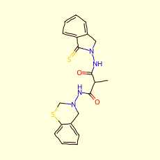 CC(C(=O)NN1CSc2ccccc2C1)C(=O)NN1Cc2ccccc2C1=S